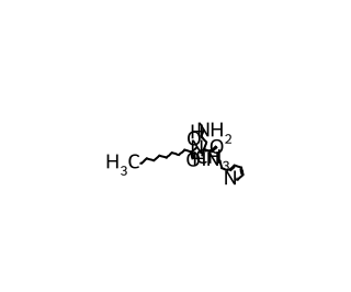 CCCCCCCCCC(=O)NC(C)(CC(N)=O)C(=O)NCCc1ccccn1